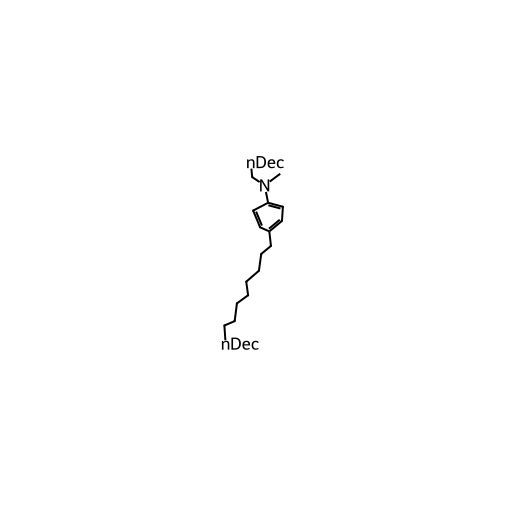 CCCCCCCCCCCCCCCCCCc1ccc(N(C)CCCCCCCCCCC)cc1